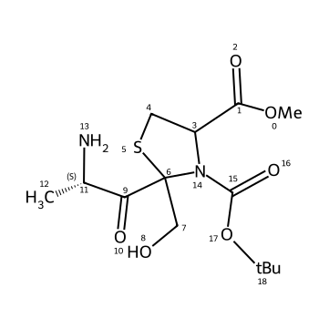 COC(=O)C1CSC(CO)(C(=O)[C@H](C)N)N1C(=O)OC(C)(C)C